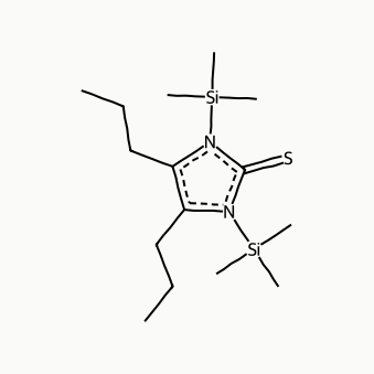 CCCc1c(CCC)n([Si](C)(C)C)c(=S)n1[Si](C)(C)C